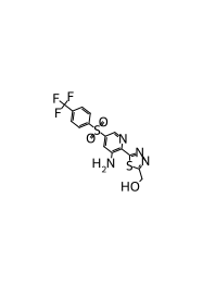 Nc1cc(S(=O)(=O)c2ccc(C(F)(F)F)cc2)cnc1-c1nnc(CO)s1